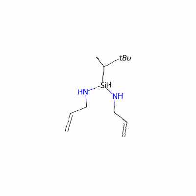 C=CCN[SiH](NCC=C)C(C)C(C)(C)C